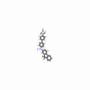 CC1(C)c2ccccc2-c2ccc(Nc3ccc(-c4ccc([Si](C)(C)C)cc4)cc3)cc21